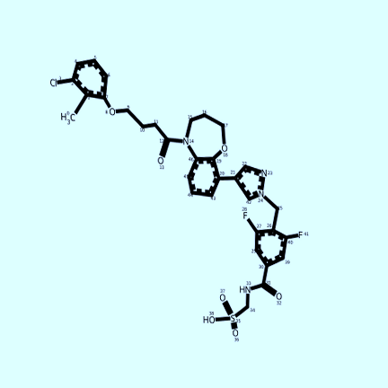 Cc1c(Cl)cccc1OCCCC(=O)N1CCCOc2c(-c3cnn(Cc4c(F)cc(C(=O)NCS(=O)(=O)O)cc4F)c3)cccc21